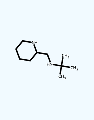 CC(C)(C)NCC1CCCCN1